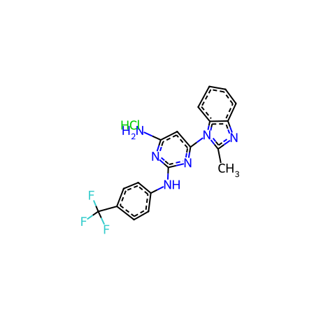 Cc1nc2ccccc2n1-c1cc(N)nc(Nc2ccc(C(F)(F)F)cc2)n1.Cl